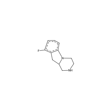 Fc1cccc2c1CC1CNCCN21